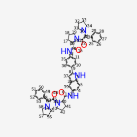 O=C(Nc1ccc2[nH]c(-c3ccc(NC(=O)[C@@H]4CCCN4C(=O)[C@@H](c4ccccc4)N4CCCC4)cc3)cc2c1)C1CCCN1C(=O)[C@H](c1ccccc1)N1CCCC1